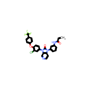 C=CC(=O)Nc1cccc(-n2c(=O)n(-c3ccc(Oc4ccc(C(F)(F)F)cc4)c(Cl)c3)c3cnccc32)c1